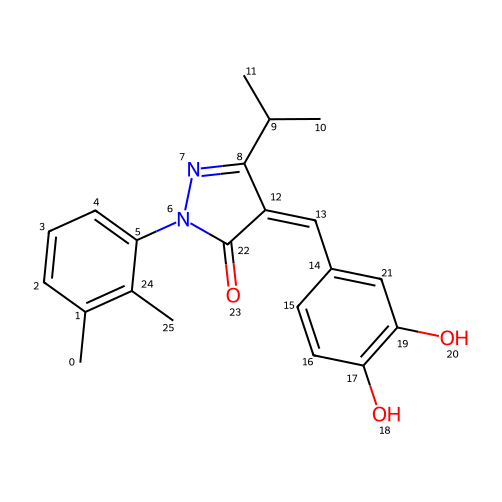 Cc1cccc(N2N=C(C(C)C)C(=Cc3ccc(O)c(O)c3)C2=O)c1C